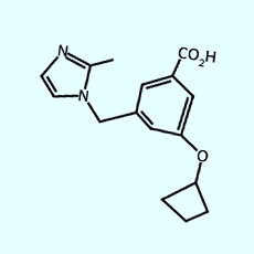 Cc1nccn1Cc1cc(OC2CCC2)cc(C(=O)O)c1